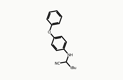 CC(C)(C)C(C#N)Nc1ccc(Oc2ccccc2)cc1